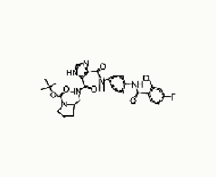 CC(C)(C)OC(=O)N1CCCC1CNC(=O)c1[nH]cnc1C(=O)Nc1ccc(NC(=O)c2ccc(F)cc2Cl)cc1